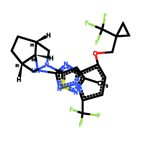 Cc1cc(N2C[C@H]3CC[C@@H](C2)[C@@H]3Nc2nc3c(OCC4(C(F)(F)F)CC4)ccc(C(F)(F)F)n3n2)sn1